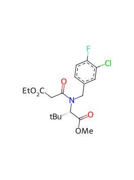 CCOC(=O)CC(=O)N(Cc1ccc(F)c(Cl)c1)[C@H](C(=O)OC)C(C)(C)C